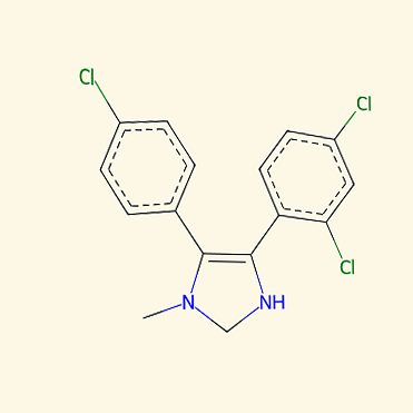 CN1CNC(c2ccc(Cl)cc2Cl)=C1c1ccc(Cl)cc1